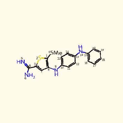 CSc1sc(C(=N)N)cc1Nc1ccc(Nc2ccccc2)cc1